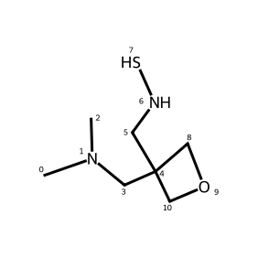 CN(C)CC1(CNS)COC1